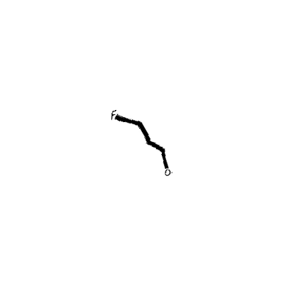 [O]C[CH]CF